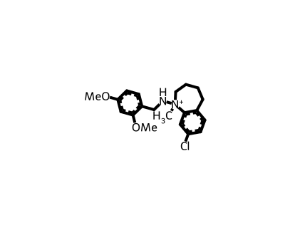 COc1ccc(CN[N+]2(C)CCCCc3ccc(Cl)cc32)c(OC)c1